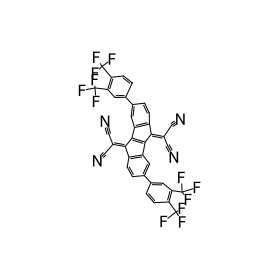 N#CC(C#N)=C1C2=C(C(=C(C#N)C#N)c3ccc(-c4ccc(C(F)(F)F)c(C(F)(F)F)c4)cc32)c2cc(-c3ccc(C(F)(F)F)c(C(F)(F)F)c3)ccc21